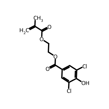 C=C(C)C(=O)OCCOC(=O)c1cc(Cl)c(O)c(Cl)c1